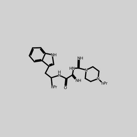 CCCC(Cc1c[nH]c2ccccc12)NC(=O)C(=N)NC(=N)N1CCN(CCC)CC1